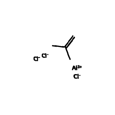 C=C(C)C.[Al+3].[Cl-].[Cl-].[Cl-]